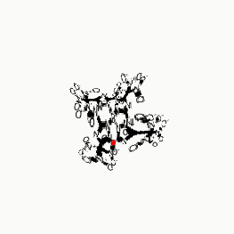 O=[N+]([O-])c1nc(C([N+](=O)[O-])([N+](=O)[O-])[N+](=O)[O-])nn1[B-](n1nc(C([N+](=O)[O-])([N+](=O)[O-])[N+](=O)[O-])nc1[N+](=O)[O-])(n1nc(C([N+](=O)[O-])([N+](=O)[O-])[N+](=O)[O-])nc1[N+](=O)[O-])n1nc(C([N+](=O)[O-])([N+](=O)[O-])[N+](=O)[O-])nc1[N+](=O)[O-]